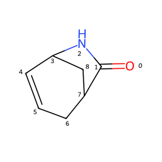 O=C1NC2C=CCC1C2